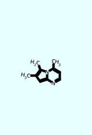 Cc1cc2nccc(C)n2c1C